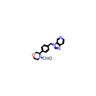 O=CN1CCOCC1c1ccc(Cn2cnc3ccncc32)cc1